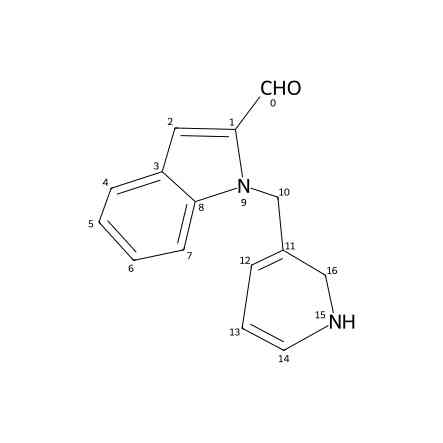 O=Cc1cc2ccccc2n1CC1=CC=CNC1